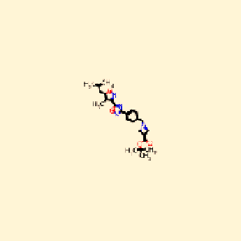 Cc1c(-c2nc(-c3ccc(CN4CC(C(=O)OC(C)(C)C)C4)cc3)no2)noc1CC(C)C